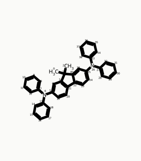 CC1(C)c2cc(N(c3ccccc3)c3ccccc3)ccc2-c2ccc(N(c3ccccc3)c3ccccc3)cc21